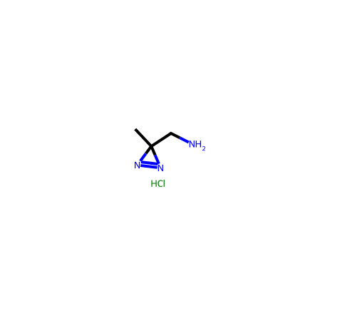 CC1(CN)N=N1.Cl